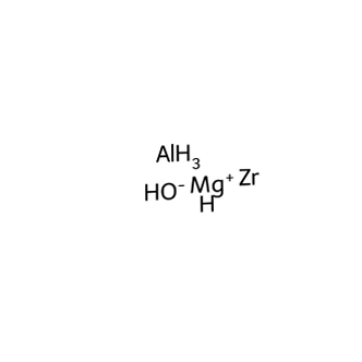 [AlH3].[MgH+].[OH-].[Zr]